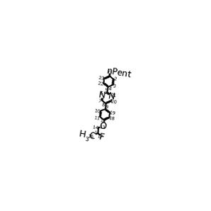 CCCCCc1ccc(-c2ncc(-c3ccc(OCC(C)F)cc3)cn2)cc1